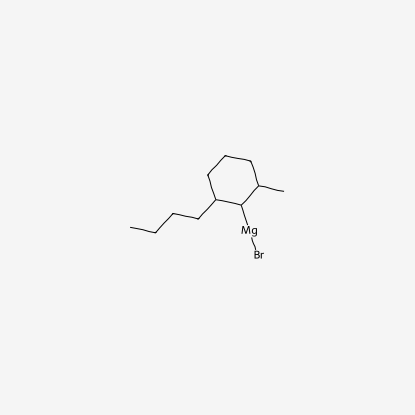 CCCCC1CCCC(C)[CH]1[Mg][Br]